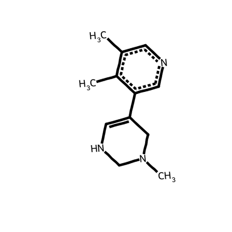 Cc1cncc(C2=CNCN(C)C2)c1C